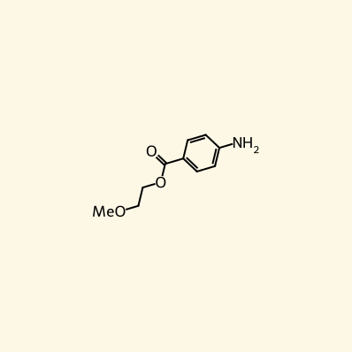 COCCOC(=O)c1ccc(N)cc1